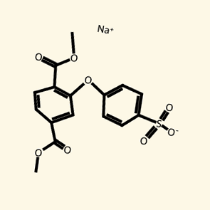 COC(=O)c1ccc(C(=O)OC)c(Oc2ccc(S(=O)(=O)[O-])cc2)c1.[Na+]